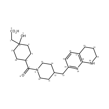 O=C(O)CC1(O)CCC(C(=O)N2CCC(Cc3ccc4c(n3)NCCC4)CC2)CC1